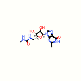 CNC(=O)NC[C@H]1O[C@@H](n2cnc3c(=O)[nH]c(C)nc32)C(O)[C@H]1O